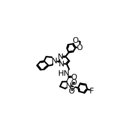 O=C(NCc1cc(-c2ccc3c(c2)OCO3)nc(N2CCc3ccccc3C2)n1)[C@@H]1CCCN1S(=O)(=O)c1ccc(F)cc1